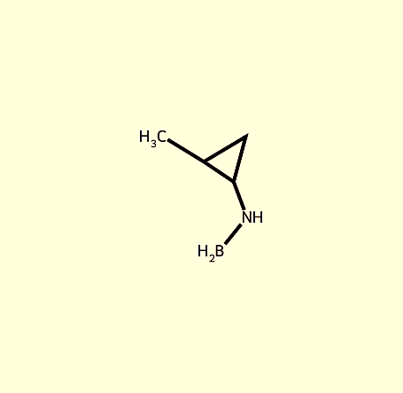 BNC1CC1C